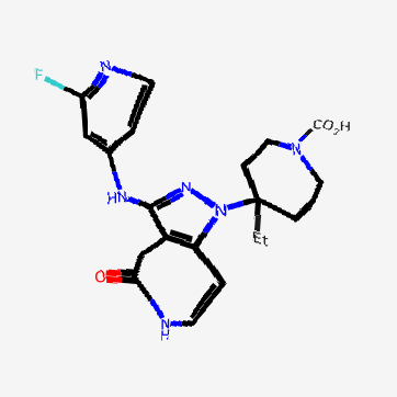 CCC1(n2nc(Nc3ccnc(F)c3)c3c(=O)[nH]ccc32)CCN(C(=O)O)CC1